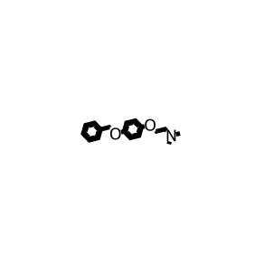 CN(C)CCOc1ccc(OCc2ccccc2)cc1